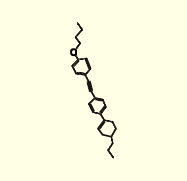 CCCCOc1ccc(C#Cc2ccc(C3=CCC(CCC)CC3)cc2)cc1